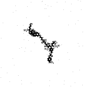 CC(C)CCC[C@@H](C)[C@H]1CC[C@H]2[C@@H]3CC=C4CC(OCCCNC(=O)CCC(=O)N[C@@H](C)C(=O)N(c5ccc(COC(=O)Oc6ccc([N+](=O)[O-])cc6)cc5)[C@@H](CC(N)=O)C(=O)O)CC[C@]4(C)[C@H]3CC[C@]12C